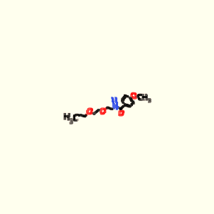 CCCOCCOCCNC(=O)c1ccc(OC)cc1